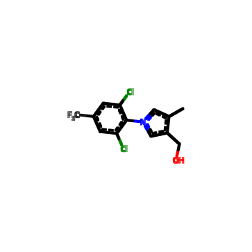 Cc1cn(-c2c(Cl)cc(C(F)(F)F)cc2Cl)cc1CO